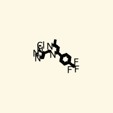 Cc1cc(-c2ccc(C(F)(F)F)cc2)nc(-c2cnnn2Cl)n1